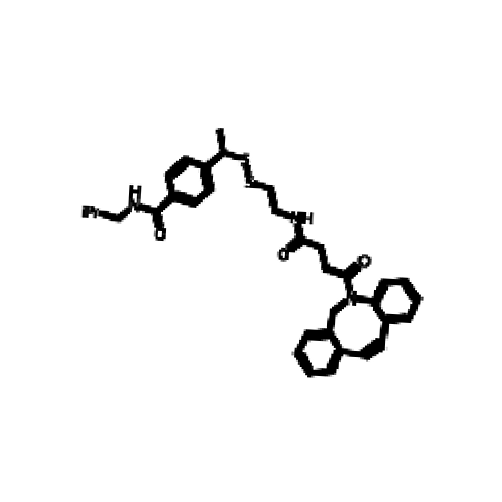 CC(C)CNC(=O)c1ccc(C(C)SSCCNC(=O)CCC(=O)N2Cc3ccccc3C#Cc3ccccc32)cc1